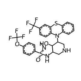 CN=S(=O)(NC1CNCC(N2c3ccccc3Sc3cc(C(F)(F)F)ccc32)C1O)c1ccc(OC(F)(F)F)cc1